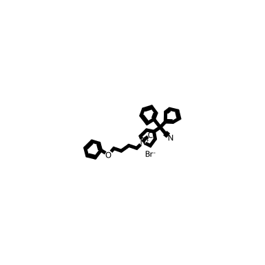 N#CC(c1ccccc1)(c1ccccc1)C12CC[N+](CCCCOc3ccccc3)(CC1)CC2.[Br-]